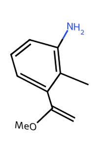 C=C(OC)c1cccc(N)c1C